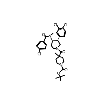 CN(C(=O)c1ccc(Cl)cc1)[C@@H]1CCN(C(=O)C2(C)CCN(C(=O)OC(C)(C)C)CC2)C[C@H]1c1ccc(Cl)c(Cl)c1